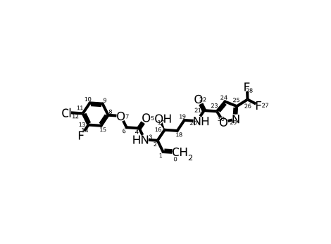 C=CC(NC(=O)COc1ccc(Cl)c(F)c1)[C@@H](O)CCNC(=O)c1cc(C(F)F)no1